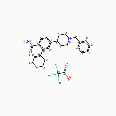 NC(=O)c1ccc(C2CCN(Cc3ccccn3)CC2)cc1C1=CCCCC1.O=C(O)C(F)(F)F